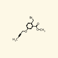 CC#CCOc1ccc(CBr)c(C(=O)OC)c1